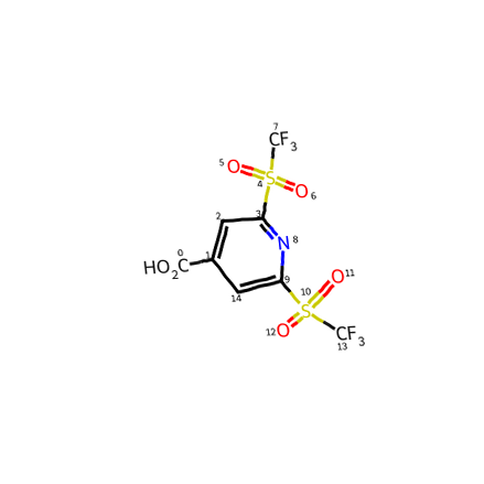 O=C(O)c1cc(S(=O)(=O)C(F)(F)F)nc(S(=O)(=O)C(F)(F)F)c1